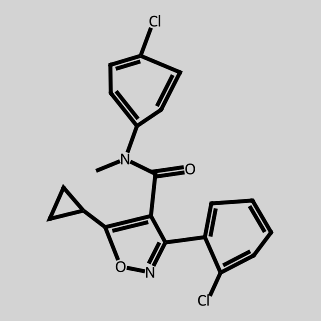 CN(C(=O)c1c(-c2ccccc2Cl)noc1C1CC1)c1ccc(Cl)cc1